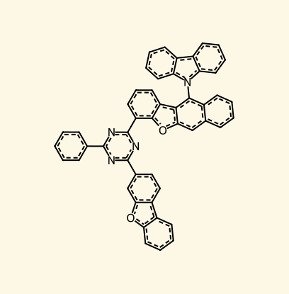 c1ccc(-c2nc(-c3ccc4c(c3)oc3ccccc34)nc(-c3cccc4c3oc3cc5ccccc5c(-n5c6ccccc6c6ccccc65)c34)n2)cc1